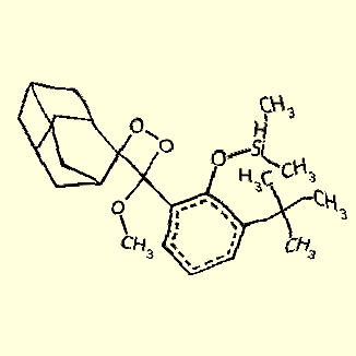 COC1(c2cccc(C(C)(C)C)c2O[SiH](C)C)OOC12C1CC3CC(C1)CC2C3